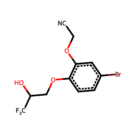 N#CCOc1cc(Br)ccc1OCC(O)C(F)(F)F